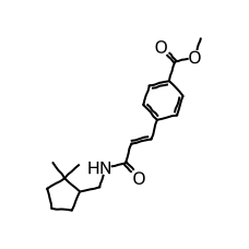 COC(=O)c1ccc(C=CC(=O)NCC2CCCC2(C)C)cc1